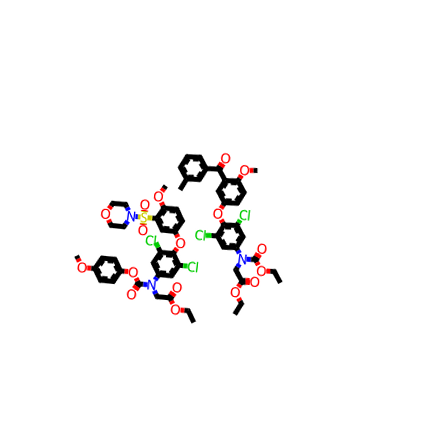 CCOC(=O)CN(C(=O)OCC)c1cc(Cl)c(Oc2ccc(OC)c(C(=O)c3cccc(C)c3)c2)c(Cl)c1.CCOC(=O)CN(C(=O)Oc1ccc(OC)cc1)c1cc(Cl)c(Oc2ccc(OC)c(S(=O)(=O)N3CCOCC3)c2)c(Cl)c1